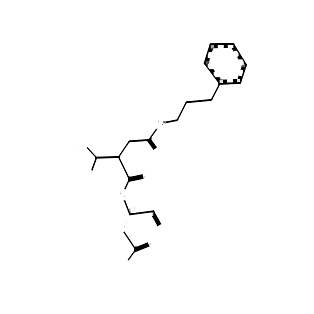 CC(C)C(CC(=O)NCCCc1ccccc1)C(=O)N[C@H](C=O)CC(=O)O